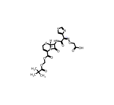 CC(C)(C)C(=O)OCOC(=O)C1=CCS[C@@H]2C(NC(=O)/C(=N\OCC(=O)O)c3cscn3)C(=O)N12